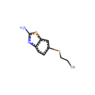 N#CCCSc1ccc2nc(N)sc2c1